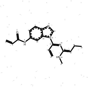 C=CC(=O)Nc1ccc2ncn(/C(C=C)=N/C(=C\CC)NC)c2c1